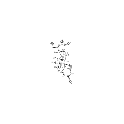 CC(=O)O[C@]1(C(=O)CBr)CC[C@H]2[C@@H]3CCC4=CC(=O)C=C[C@]4(C)[C@H]3CC[C@@]21C